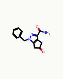 NC(=O)c1nn(Cc2ccccc2)c2c1CC(=O)C2